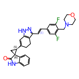 O=C1Nc2ccccc2[C@]12C[C@H]2C1=Cc2[nH]nc(/C=C/c3cc(F)c(CN4CCOCC4)c(F)c3)c2CC1